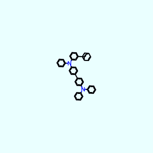 C1=CC2CCC1C=C2c1cccc(N(c2ccccc2)c2ccc(-c3ccc(N(c4ccccc4)c4ccccc4)cc3)cc2)c1